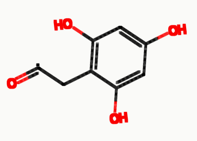 O=[C]Cc1c(O)cc(O)cc1O